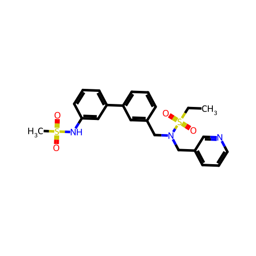 CCS(=O)(=O)N(Cc1cccnc1)Cc1cccc(-c2cccc(NS(C)(=O)=O)c2)c1